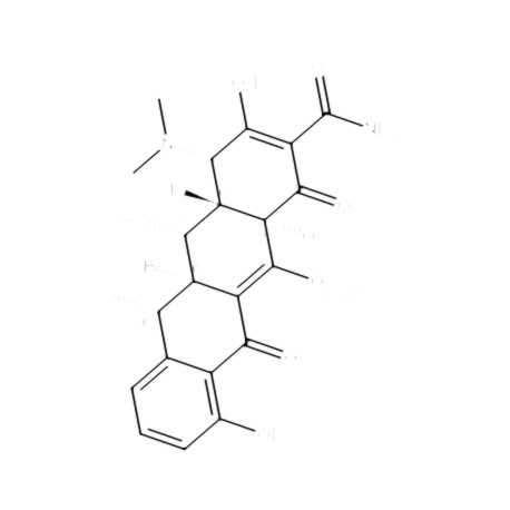 C[C@H]1c2cccc(O)c2C(=O)C2=C(O)[C@]3(O)C(=O)C(C(N)=O)=C(O)[C@@H](N(C)C)[C@H]3[C@@H](O)[C@@H]21.O